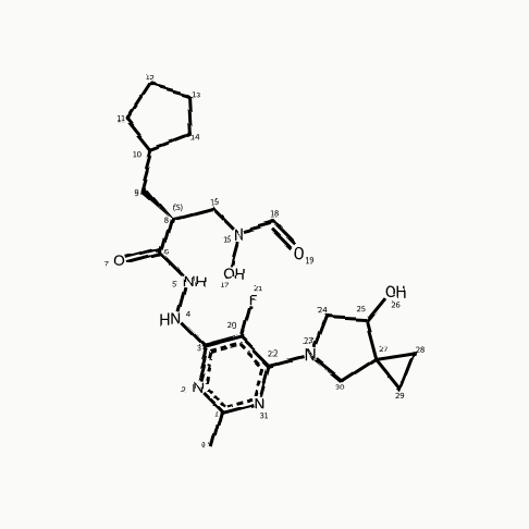 Cc1nc(NNC(=O)[C@@H](CC2CCCC2)CN(O)C=O)c(F)c(N2CC(O)C3(CC3)C2)n1